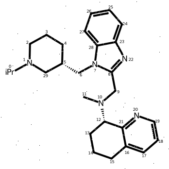 CC(C)N1CCC[C@H](Cn2c(CN(C)[C@H]3CCCc4cccnc43)nc3ccccc32)C1